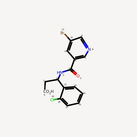 O=C(O)CC(NC(=O)c1cncc(Br)c1)c1ccccc1Cl